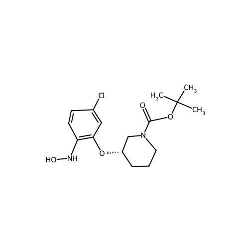 CC(C)(C)OC(=O)N1CCC[C@H](Oc2cc(Cl)ccc2NO)C1